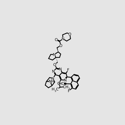 C#Cc1c(F)ccc2cccc(-c3nc(OC(C)C)c4c(N5CC6CCC(C5)N6)nc(OC[C@]56CCCN5[C@@H](COC(=O)N5CCOCC5)CC6)nc4c3F)c12